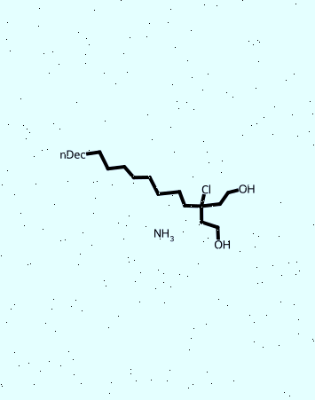 CCCCCCCCCCCCCCCCCCC(Cl)(CCO)CCO.N